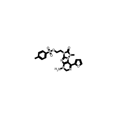 Cc1ccc(S(=O)(=O)OCCn2c(=O)n(C)n3c4c(nc23)N(N)CN=C4c2ccco2)cc1